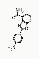 NC(=O)c1cccc2oc(-c3ccc(N)cc3)nc12